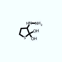 NNC1CCSC1(O)O